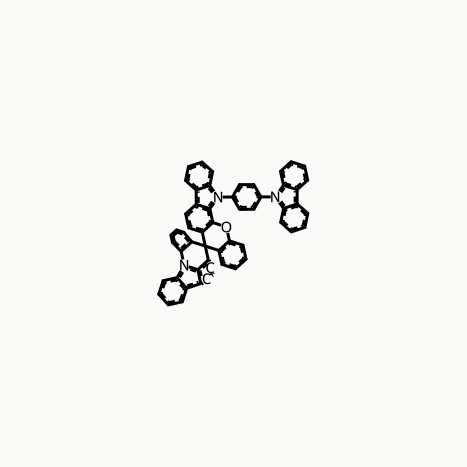 c1ccc2c(c1)Oc1c(ccc3c4ccccc4n(-c4ccc(-n5c6ccccc6c6ccccc65)cc4)c13)C21c2ccccc2-n2c3ccccc3c3cccc1c32